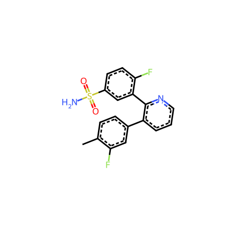 Cc1ccc(-c2cccnc2-c2cc(S(N)(=O)=O)ccc2F)cc1F